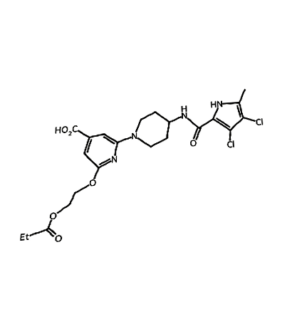 CCC(=O)OCCOc1cc(C(=O)O)cc(N2CCC(NC(=O)c3[nH]c(C)c(Cl)c3Cl)CC2)n1